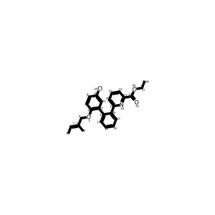 C/C=C(\C)COc1ccc(Cl)cc1-c1ccccc1-c1cccc(C(=O)OCC)n1